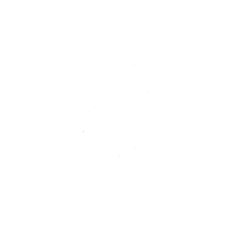 c1ccc2c(c1)CCCc1ccccc1CCC2